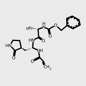 C=CC(=O)N[C@H](C[C@@H]1CCNC1=O)NC(=O)[C@H](CCC)NC(=O)OCc1ccccc1